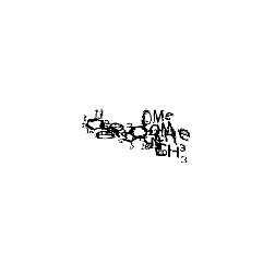 COc1cc2c(ccn2S(=O)(=O)c2ccccc2)c(CN(C)C)c1OC